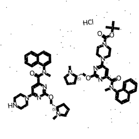 CN(C(=O)c1cc(N2CCN(C(=O)OC(C)(C)C)CC2)nc(OC[C@@H]2CCCN2C)n1)c1cccc2ccccc12.CN(C(=O)c1cc(N2CCNCC2)nc(OC[C@@H]2CCCN2C)n1)c1cccc2ccccc12.Cl